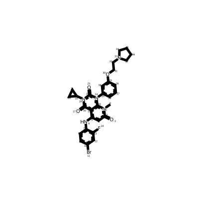 Cn1c(=O)cc(Nc2ccc(Br)cc2F)c2c(=O)n(C3CC3)c(=O)n(-c3cccc(OCCN4CCCC4)c3)c21